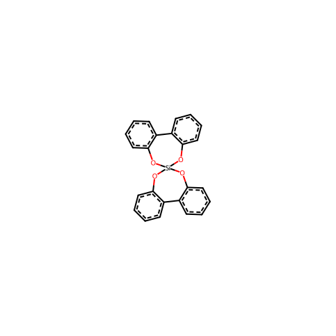 c1ccc2c(c1)O[Si]1(Oc3ccccc3-2)Oc2ccccc2-c2ccccc2O1